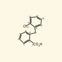 O=C(O)c1ccccc1Cc1ccccc1Cl